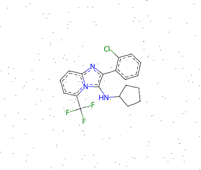 FC(F)(F)c1cccc2nc(-c3ccccc3Cl)c(NC3CCCC3)n12